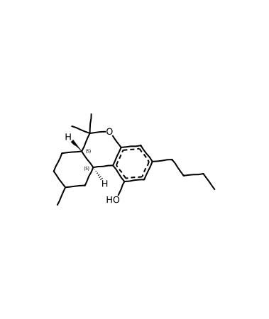 CCCCc1cc(O)c2c(c1)OC(C)(C)[C@H]1CCC(C)C[C@H]21